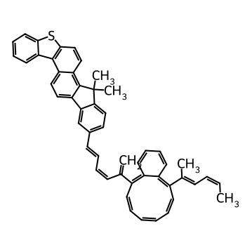 C=C(/C=C\C=C\c1ccc2c(c1)-c1ccc3c(ccc4sc5ccccc5c43)c1C2(C)C)c1ccccccc(/C(C)=C/C=C\C)c2ccccc12